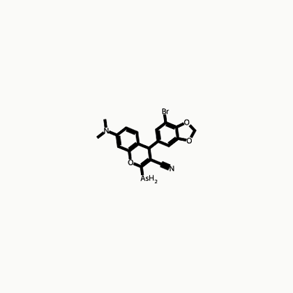 CN(C)c1ccc2c(c1)OC([AsH2])=C(C#N)C2c1cc(Br)c2c(c1)OCO2